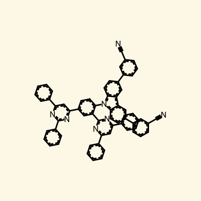 N#Cc1cccc(-c2ccc3c(c2)c2cc(-c4cccc(C#N)c4)ccc2n3-c2ccc(-c3cc(-c4ccccc4)nc(-c4ccccc4)n3)cc2-c2nc(-c3ccccc3)cc(-c3ccccc3)n2)c1